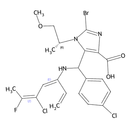 C=C/C(=C\C(Cl)=C(/C)F)NC(c1ccc(Cl)cc1)c1c(C(=O)O)nc(Br)n1[C@H](C)COC